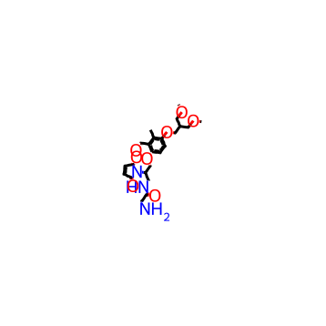 COCC(COC)COc1ccc(OCC(CNC(=O)CN)N2C(=O)C=CC2=O)c(C=O)c1C